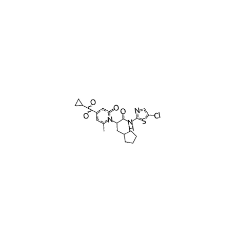 Cc1cc(S(=O)(=O)C2CC2)cc(=O)n1C(CC1CCCC1)C(=O)Nc1ncc(Cl)s1